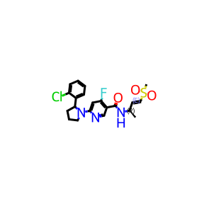 C[C@H](/C=C/S(C)(=O)=O)NC(=O)c1cnc(N2CCCC2c2ccccc2Cl)cc1F